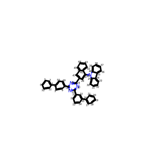 c1ccc(-c2ccc(-c3nc(-c4cccc(-c5ccccc5)c4)nc(-c4cc(-n5c6ccccc6c6ccccc65)c5ccccc5c4)n3)cc2)cc1